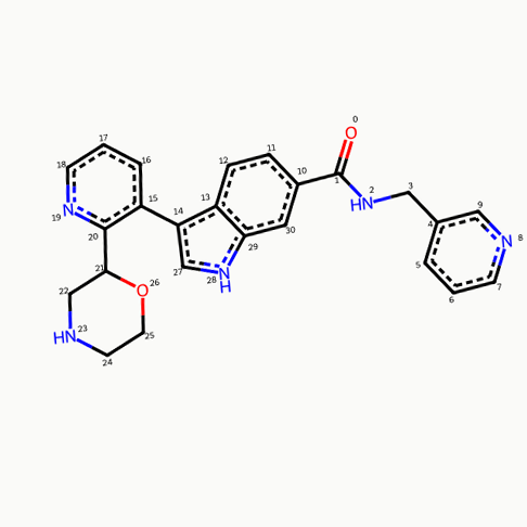 O=C(NCc1cccnc1)c1ccc2c(-c3cccnc3C3CNCCO3)c[nH]c2c1